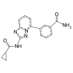 NC(=O)c1cccc(-c2cccc3nc(NC(=O)C4CC4)nn23)c1